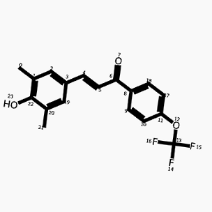 Cc1cc(C=CC(=O)c2ccc(OC(F)(F)F)cc2)cc(C)c1O